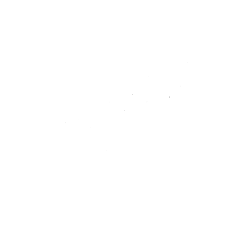 CCOC(=O)c1cccc2c1CC(C=CC=Cc1ccc(F)cc1)O2